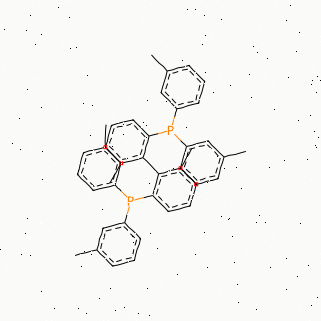 Cc1cccc(P(c2cccc(C)c2)c2cccc(C)c2-c2c(C)cccc2P(c2cccc(C)c2)c2cccc(C)c2)c1